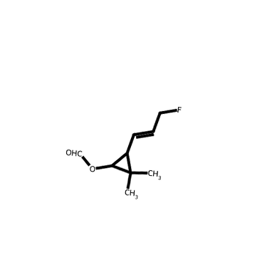 CC1(C)C(C=CCF)C1OC=O